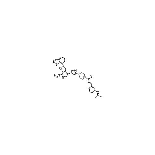 CC(C)Oc1cccc(C=CC(=O)N2CCC(n3cc(-c4cnc(N)c5oc(-c6cccc7cnsc67)cc45)cn3)CC2)c1